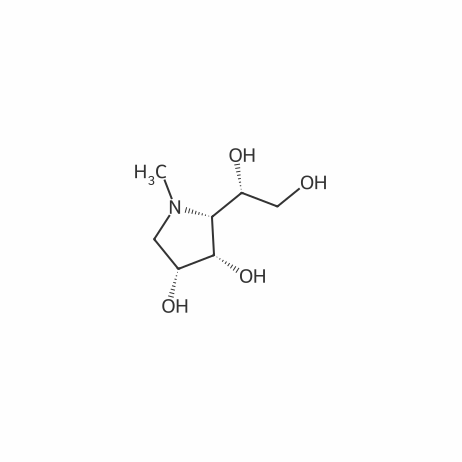 CN1C[C@@H](O)[C@@H](O)[C@H]1[C@H](O)CO